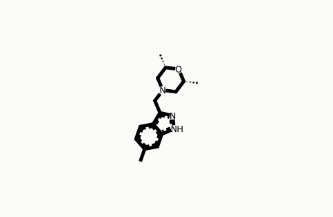 Cc1ccc2c(CN3C[C@@H](C)O[C@@H](C)C3)n[nH]c2c1